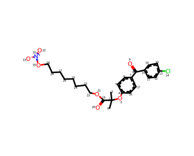 CC(C)(Oc1ccc(C(=O)c2ccc(Cl)cc2)cc1)C(=O)OCCCCCCCCO[N+](=O)[O-]